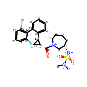 CN(C)S(=O)(=O)N[C@H]1CCCCN(C(=O)[C@@H]2C[C@H]2c2ccccc2-c2c(F)cccc2F)C1